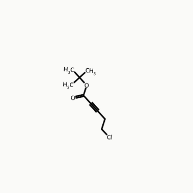 CC(C)(C)OC(=O)C#CCCCl